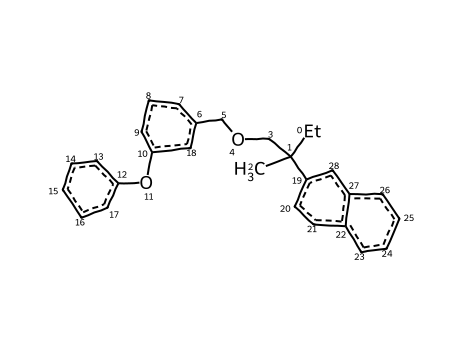 CCC(C)(COCc1cccc(Oc2ccccc2)c1)c1ccc2ccccc2c1